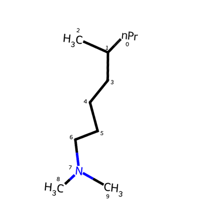 CCCC(C)CCCCN(C)C